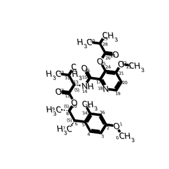 COc1ccc([C@H](C)[C@H](C)OC(=O)[C@@H](NC(=O)c2nccc(OC)c2OC(=O)C(C)C)C(C)C)c(C)c1